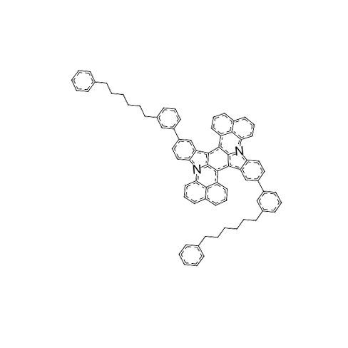 c1ccc(CCCCCCc2cccc(-c3ccc4c(c3)c3c5c6cccc7cccc(c76)n6c7ccc(-c8cccc(CCCCCCc9ccccc9)c8)cc7c(c7c8cccc9cccc(c98)n4c73)c56)c2)cc1